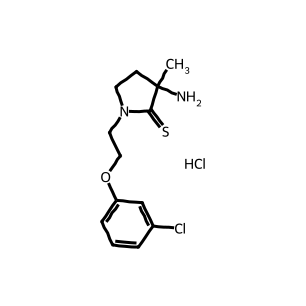 CC1(N)CCN(CCOc2cccc(Cl)c2)C1=S.Cl